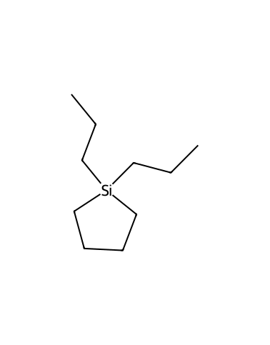 CCC[Si]1(CCC)CCCC1